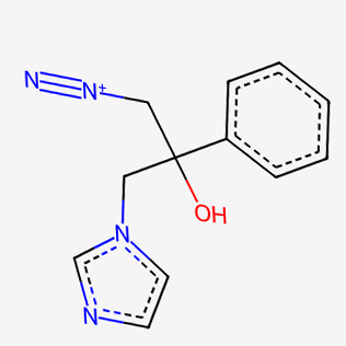 N#[N+]CC(O)(Cn1ccnc1)c1ccccc1